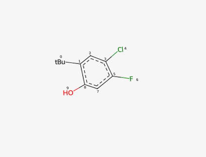 CC(C)(C)c1cc(Cl)c(F)cc1O